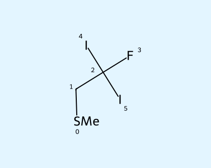 CSCC(F)(I)I